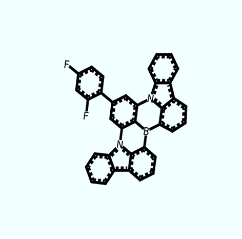 Fc1ccc(-c2cc3c4c(c2)-n2c5ccccc5c5cccc(c52)B4c2cccc4c5ccccc5n-3c24)c(F)c1